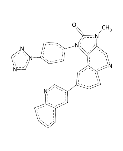 Cn1c(=O)n(-c2ccc(-n3cncn3)cc2)c2c3cc(-c4cnc5ccccc5c4)ccc3ncc21